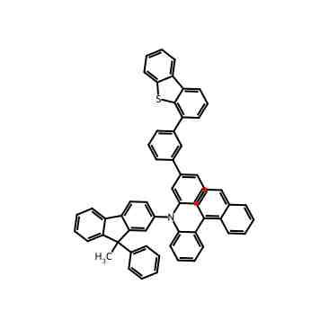 CC1(c2ccccc2)c2ccccc2-c2ccc(N(c3c#ccc(-c4cccc(-c5cccc6c5sc5ccccc56)c4)c3)c3ccccc3C3=c4ccccc4=CCC3)cc21